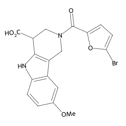 COc1ccc2[nH]c3c(c2c1)CN(C(=O)c1ccc(Br)o1)CC3C(=O)O